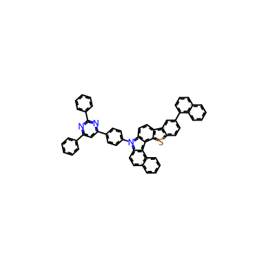 c1ccc(-c2cc(-c3ccc(-n4c5ccc6ccccc6c5c5c6sc7ccc(-c8cccc9ccccc89)cc7c6ccc54)cc3)nc(-c3ccccc3)n2)cc1